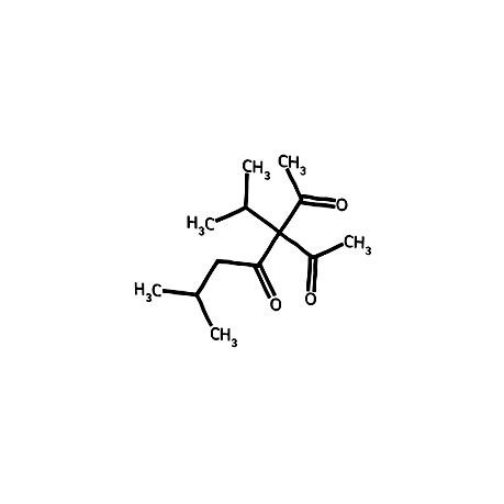 CC(=O)C(C(C)=O)(C(=O)CC(C)C)C(C)C